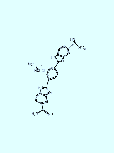 Cl.Cl.Cl.Cl.N=C(N)c1ccc2[nH]c(-c3ccc(-c4nc5cc(C(=N)N)ccc5[nH]4)cc3)nc2c1